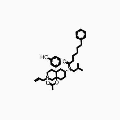 C=CCN1CC[C@@]2(c3cccc(O)c3)C[C@H](N(CC(C)C)C(=O)CCCCCc3ccccc3)CC[C@]2(OC(C)=O)C1